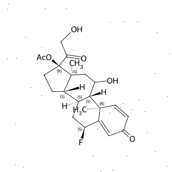 CC(=O)O[C@]1(C(=O)CO)CC[C@H]2[C@@H]3C[C@H](F)C4=CC(=O)C=C[C@]4(C)[C@H]3C(O)C[C@@]21C